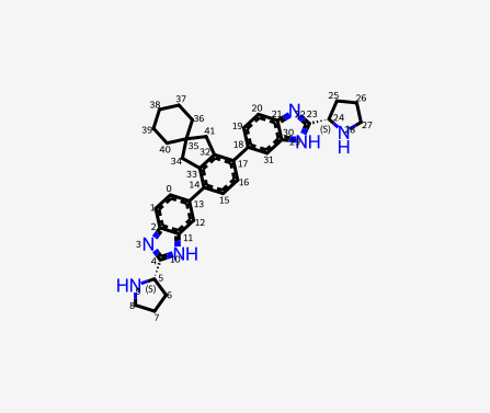 c1cc2nc([C@@H]3CCCN3)[nH]c2cc1-c1ccc(-c2ccc3nc([C@@H]4CCCN4)[nH]c3c2)c2c1CC1(CCCCC1)C2